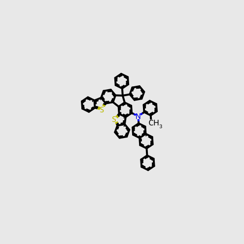 Cc1ccccc1N(c1ccc2cc(-c3ccccc3)ccc2c1)c1cc2c(c3sc4ccccc4c13)-c1c(ccc3c1sc1ccccc13)C2(c1ccccc1)c1ccccc1